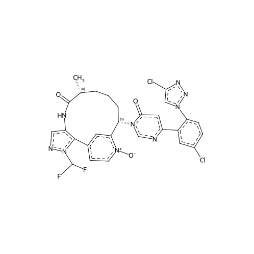 C[C@@H]1CCC[C@H](n2cnc(-c3cc(Cl)ccc3-n3cc(Cl)nn3)cc2=O)c2cc(cc[n+]2[O-])-c2c(cnn2C(F)F)NC1=O